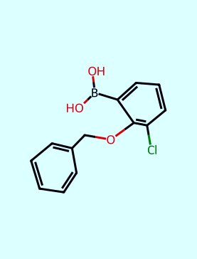 OB(O)c1cccc(Cl)c1OCc1ccccc1